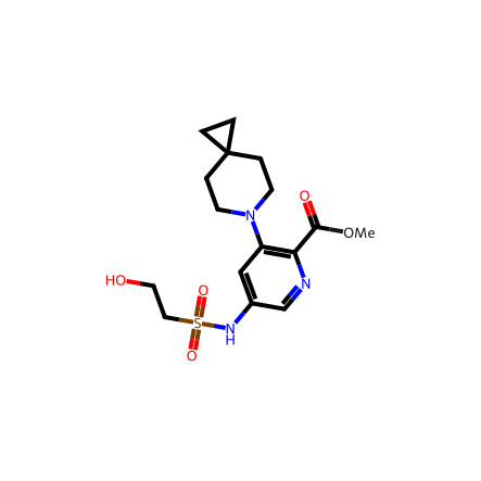 COC(=O)c1ncc(NS(=O)(=O)CCO)cc1N1CCC2(CC1)CC2